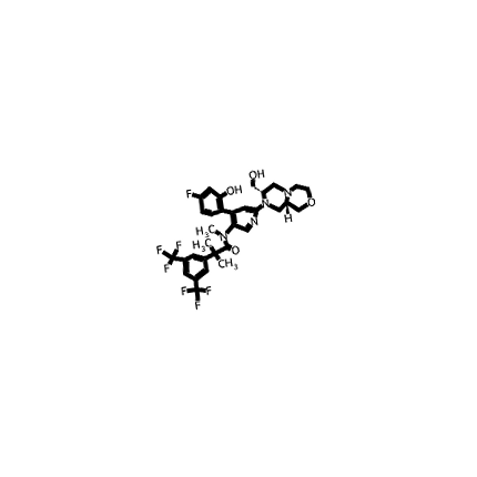 CN(C(=O)C(C)(C)c1cc(C(F)(F)F)cc(C(F)(F)F)c1)c1cnc(N2C[C@H]3COCCN3C[C@H]2CO)cc1-c1ccc(F)cc1O